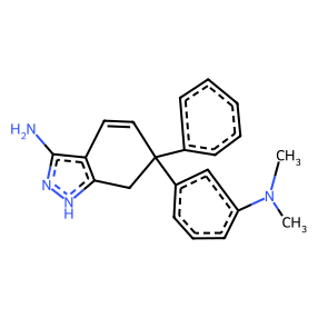 CN(C)c1cccc(C2(c3ccccc3)C=Cc3c(N)n[nH]c3C2)c1